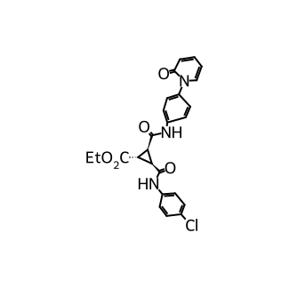 CCOC(=O)[C@H]1[C@H](C(=O)Nc2ccc(Cl)cc2)[C@@H]1C(=O)Nc1ccc(-n2ccccc2=O)cc1